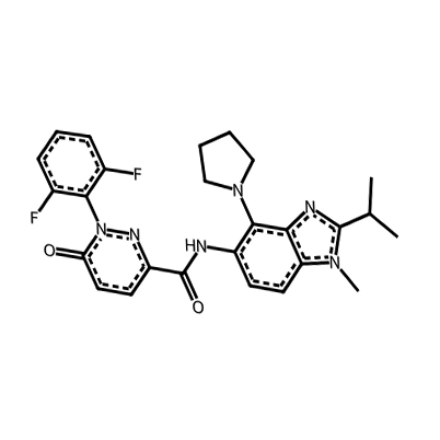 CC(C)c1nc2c(N3CCCC3)c(NC(=O)c3ccc(=O)n(-c4c(F)cccc4F)n3)ccc2n1C